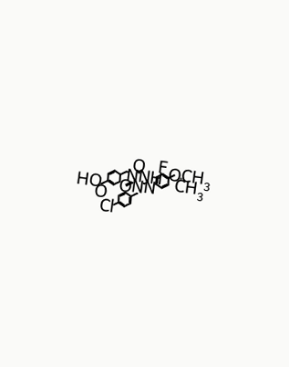 CC(C)Oc1ccc(/N=c2\[nH]c(=O)n(CC3C=CC(C(=O)O)=CC3)c(=O)n2Cc2ccc(Cl)cc2)cc1F